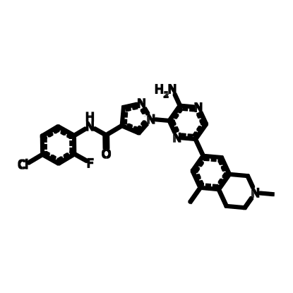 Cc1cc(-c2cnc(N)c(-n3cc(C(=O)Nc4ccc(Cl)cc4F)cn3)n2)cc2c1CCN(C)C2